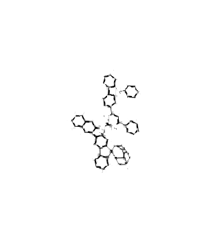 c1ccc(-c2cc(-c3ccc4c5ccccc5n(-c5ccccc5)c4c3)nc(-n3c4cc5c(cc4c4cc6ccccc6cc43)-c3ccccc3C53C4CC5CC(C4)CC3C5)n2)cc1